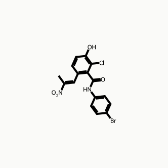 CC(=Cc1ccc(O)c(Cl)c1C(=O)Nc1ccc(Br)cc1)[N+](=O)[O-]